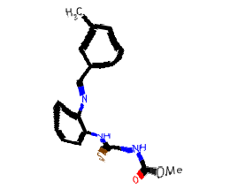 COC(=O)NC(=S)Nc1ccccc1N=Cc1cccc(C)c1